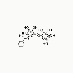 N#CC(O[C@@H]1O[C@H](COC2O[C@H](CO)[C@H](O)[C@@H](O)[C@H]2O)[C@@H](O)[C@H](O)[C@H]1O)c1ccccc1